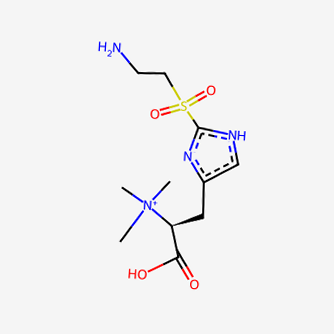 C[N+](C)(C)[C@@H](Cc1c[nH]c(S(=O)(=O)CCN)n1)C(=O)O